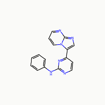 c1ccc(Nc2nccc(-c3cnc4ncccn34)n2)cc1